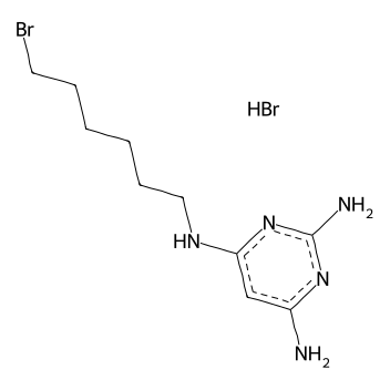 Br.Nc1cc(NCCCCCCBr)nc(N)n1